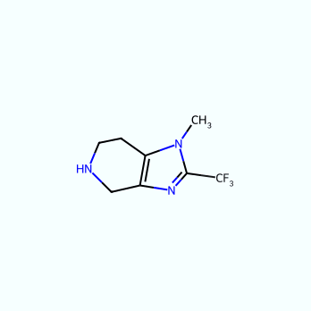 Cn1c(C(F)(F)F)nc2c1CCNC2